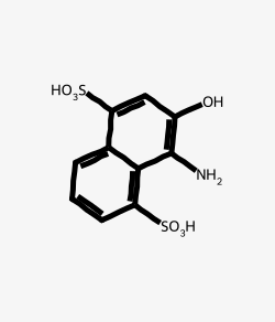 Nc1c(O)cc(S(=O)(=O)O)c2cccc(S(=O)(=O)O)c12